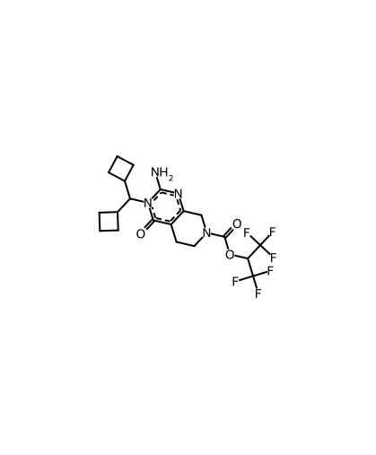 Nc1nc2c(c(=O)n1C(C1CCC1)C1CCC1)CCN(C(=O)OC(C(F)(F)F)C(F)(F)F)C2